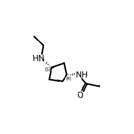 CCN[C@H]1CC[C@@H](NC(C)=O)C1